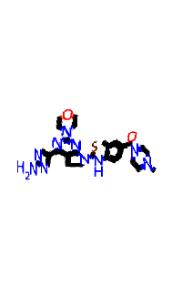 Cc1cc(C(=O)N2CCN(C)CC2)ccc1NC(=S)N1CCc2c(-c3cnc(N)nc3)nc(N3CCOCC3)nc21